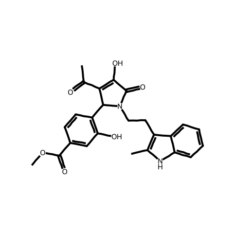 COC(=O)c1ccc(C2C(C(C)=O)=C(O)C(=O)N2CCc2c(C)[nH]c3ccccc23)c(O)c1